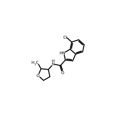 CC1OCCC1NC(=O)c1cc2cccc(Cl)c2[nH]1